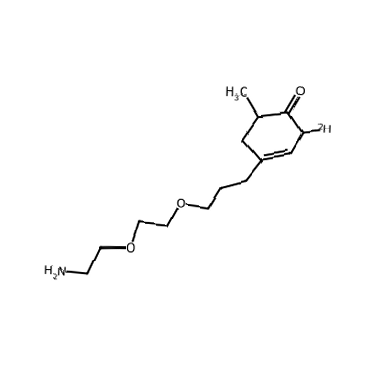 [2H]C1C=C(CCCOCCOCCN)CC(C)C1=O